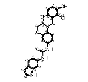 O=C(Nc1ccc2c(c1)OCC(=O)N2Cc1c(F)ccc(O)c1Cl)Nc1ccc2cc[nH]c2c1